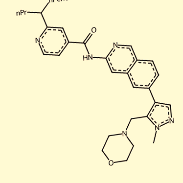 CCCCCC(CCC)c1cc(C(=O)Nc2cc3cc(-c4cnn(C)c4CN4CCOCC4)ccc3cn2)ccn1